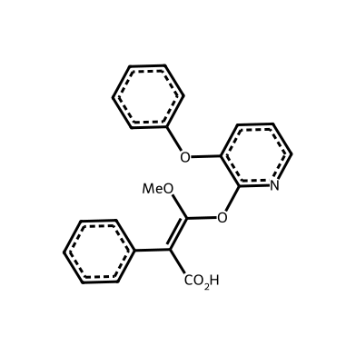 COC(Oc1ncccc1Oc1ccccc1)=C(C(=O)O)c1ccccc1